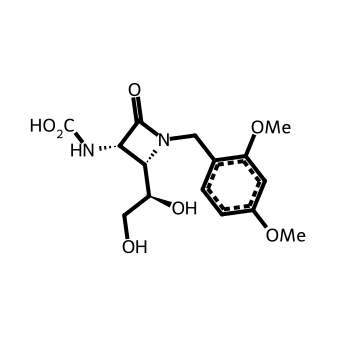 COc1ccc(CN2C(=O)[C@@H](NC(=O)O)[C@H]2[C@@H](O)CO)c(OC)c1